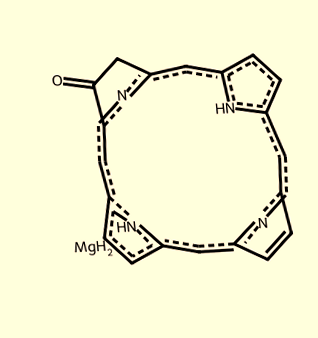 O=C1Cc2cc3ccc(cc4nc(cc5ccc(cc1n2)[nH]5)C=C4)[nH]3.[MgH2]